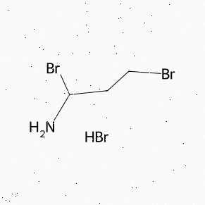 Br.NC(Br)CCBr